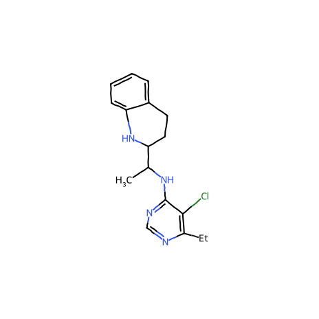 CCc1ncnc(NC(C)C2CCc3ccccc3N2)c1Cl